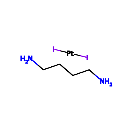 NCCCCN.[I][Pt][I]